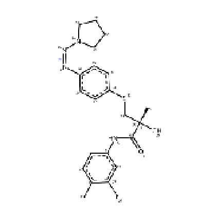 Cc1ccc(NC(=O)[C@@](C)(O)CSc2ccc(/N=N\N3CCCC3)cc2)cc1F